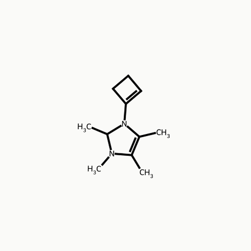 CC1=C(C)N(C2=CCC2)C(C)N1C